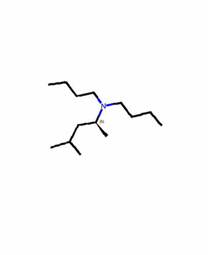 CCCCN(CCCC)[C@@H](C)CC(C)C